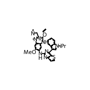 C=CONNc1cc(Nc2nc(-c3cn(C(C)C)c4ccccc34)c3sccc3n2)c(OC)cc1N(C)CCN(C)C